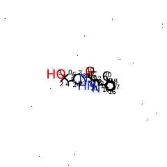 CC(C)(O)CC1CCN(C(=O)c2cc(-c3ccccc3C(F)(F)F)n[nH]2)CC1